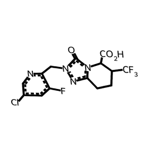 O=C(O)C1C(C(F)(F)F)CCc2nn(Cc3ncc(Cl)cc3F)c(=O)n21